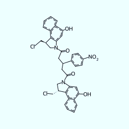 O=C(CC(CC(=O)N1C[C@@H](CCl)c2c1cc(O)c1ccccc21)c1ccc([N+](=O)[O-])cc1)N1C[C@@H](CCl)c2c1cc(O)c1ccccc21